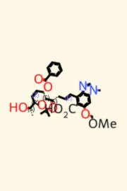 COCOc1cc2c(ncn2C)c(/C=C/C[C@@H]2OC(C)(C)O[C@@H]2C(/C=C\[C@@H](C)[C@H](C)O)OC(=O)c2ccccc2)c1C(=O)O